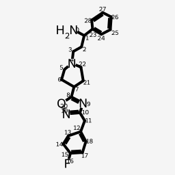 NC(CCN1CCC(c2nc(Cc3ccc(F)cc3)no2)CC1)c1ccccc1